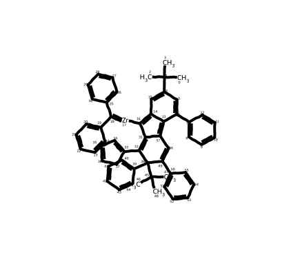 CC(C)(C)c1cc(-c2ccccc2)c2c(c1)=[C]([Zr]=[C](c1ccccc1)c1ccccc1)C1=C(C3=CC=CC3)C(c3ccccc3)(C(C)(C)C)C(c3ccccc3)=CC=21